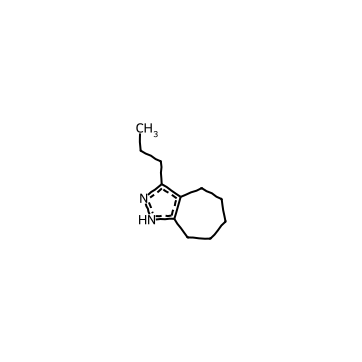 CCCc1n[nH]c2c1CCCCC2